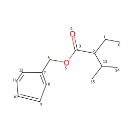 CCC(C(=O)OCc1ccccc1)C(C)C